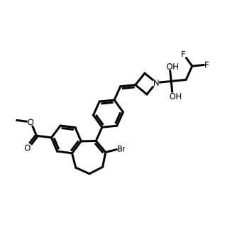 COC(=O)c1ccc2c(c1)CCCC(Br)=C2c1ccc(C=C2CN(C(O)(O)CC(F)F)C2)cc1